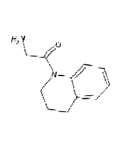 NCC(=O)N1CCCc2ccccc21